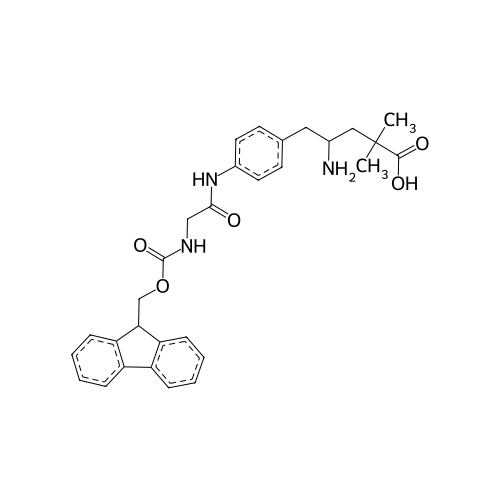 CC(C)(CC(N)Cc1ccc(NC(=O)CNC(=O)OCC2c3ccccc3-c3ccccc32)cc1)C(=O)O